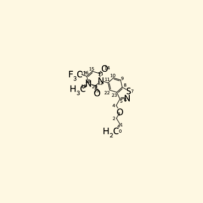 C=CCOCc1nsc2ccc(-n3c(=O)cc(C(F)(F)F)n(C)c3=O)cc12